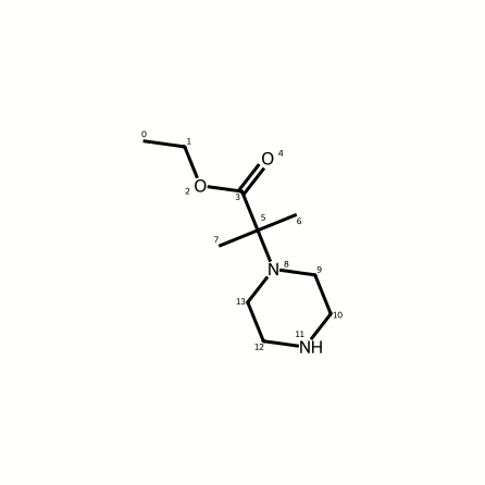 CCOC(=O)C(C)(C)N1CCNCC1